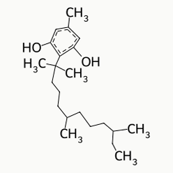 CCC(C)CCCC(C)CCCC(C)(C)c1c(O)cc(C)cc1O